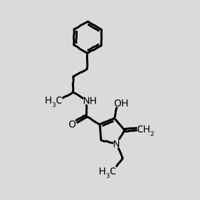 C=C1C(O)=C(C(=O)NC(C)CCc2ccccc2)CN1CC